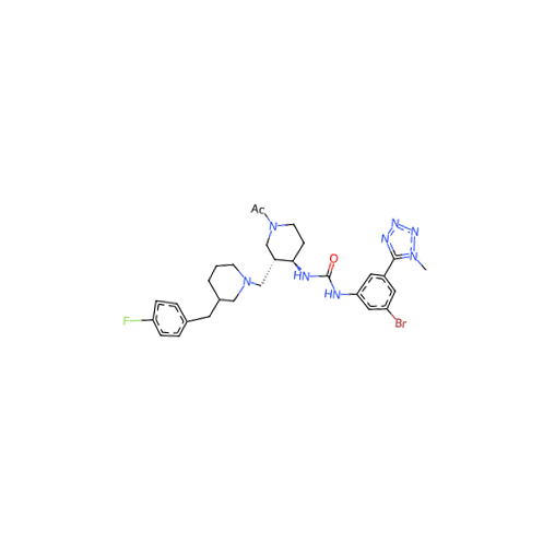 CC(=O)N1CC[C@@H](NC(=O)Nc2cc(Br)cc(-c3nnnn3C)c2)[C@H](CN2CCCC(Cc3ccc(F)cc3)C2)C1